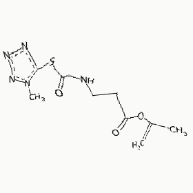 C=C(C)OC(=O)CCNC(=O)Sc1nnnn1C